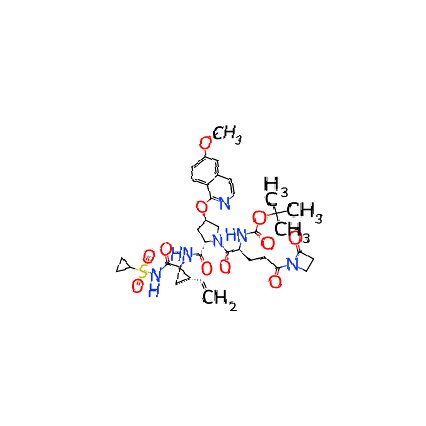 C=C[C@@H]1C[C@]1(NC(=O)[C@@H]1C[C@@H](Oc2nccc3cc(OC)ccc23)CN1C(=O)[C@H](CCC(=O)N1CCC1=O)NC(=O)OC(C)(C)C)C(=O)NS(=O)(=O)C1CC1